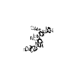 CCCCC1(C)CN(c2cnc3ccc(Nc4ccc(OCc5cnccn5)c(OC)c4)c(C#N)c3n2)CCO1